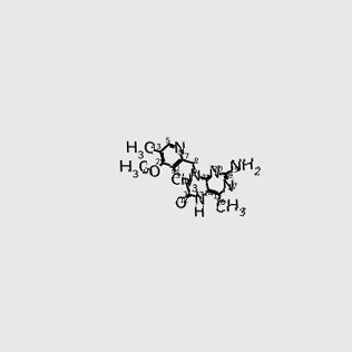 COc1c(C)cnc(CN2CC(=O)Nc3c(C)nc(N)nc32)c1C